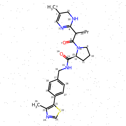 CC1=CN=C(C(C(=O)N2CCC[C@H]2C(=O)NCc2ccc(-c3scnc3C)cc2)C(C)C)NC1